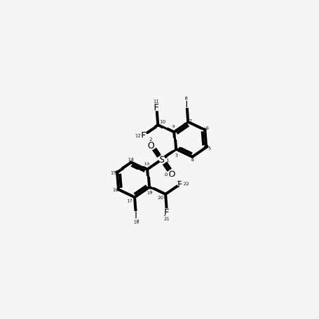 O=S(=O)(c1cccc(I)c1C(F)F)c1cccc(I)c1C(F)F